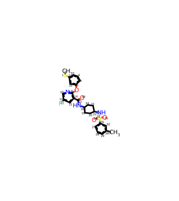 CSc1cccc(Oc2ncc(F)cc2C(=O)NC2CCC(NS(=O)(=O)c3cccc(C)c3)CC2)c1